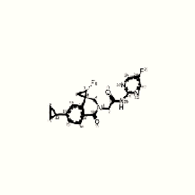 O=C(CN1C[C@]2(C[C@@H]2F)c2cc(C3CC3)ccc2C1=O)Nc1ncc(F)cn1